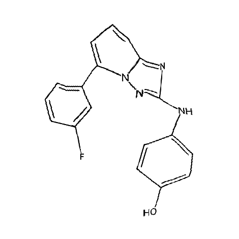 Oc1ccc(Nc2nc3cccc(-c4cccc(F)c4)n3n2)cc1